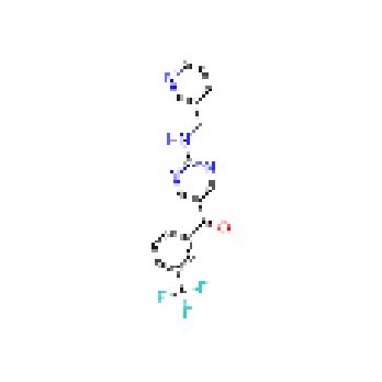 O=C(c1cnc(NCc2cccnc2)nc1)c1cccc(C(F)(F)F)c1